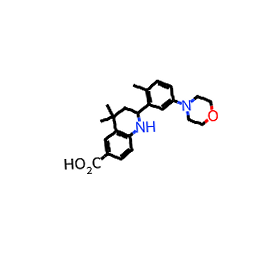 Cc1ccc(N2CCOCC2)cc1C1CC(C)(C)c2cc(C(=O)O)ccc2N1